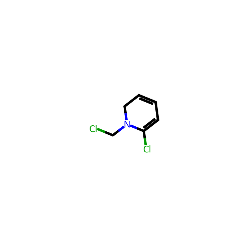 ClCN1CC=CC=C1Cl